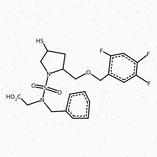 O=C(O)CN(Cc1ccccc1)S(=O)(=O)N1CC(S)CC1COCc1cc(F)c(F)cc1F